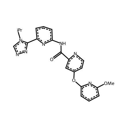 COc1cccc(Oc2ccnc(C(=O)Nc3cccc(-c4nncn4C(C)C)n3)c2)n1